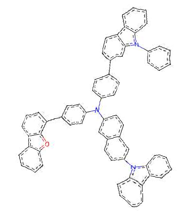 c1ccc(-n2c3ccccc3c3ccc(-c4ccc(N(c5ccc(-c6cccc7c6oc6ccccc67)cc5)c5ccc6cc(-n7c8ccccc8c8ccccc87)ccc6c5)cc4)cc32)cc1